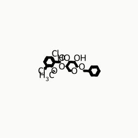 COc1c(Cl)ccc(Cl)c1C(=O)O[C@H]1CO[C@@H](OCc2ccccc2)[C@H](O)[C@H]1O